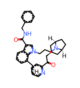 CCc1cccc2c(C(=O)NCc3ccccc3)cn(CCCN3[C@@H]4CC[C@H]3C[C@@H](CC(=O)c3ccccn3)C4)c12